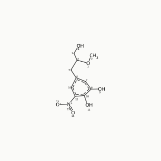 COC(CO)Cc1cc(O)c(O)c([N+](=O)[O-])c1